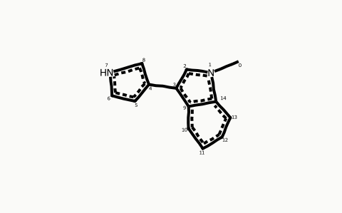 Cn1cc(-c2cc[nH]c2)c2ccccc21